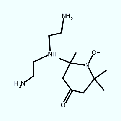 CC1(C)CC(=O)CC(C)(C)N1O.NCCNCCN